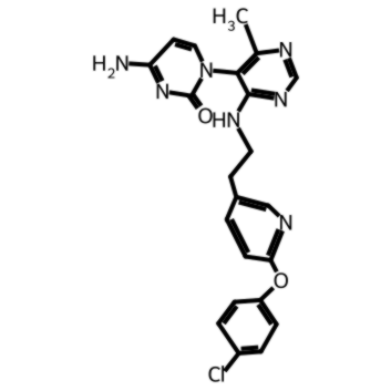 Cc1ncnc(NCCc2ccc(Oc3ccc(Cl)cc3)nc2)c1-n1ccc(N)nc1=O